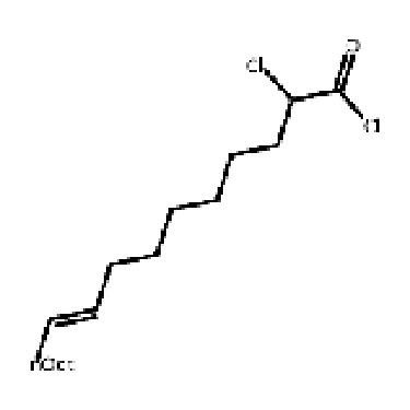 CCCCCCCCC=CCCCCCCC(Cl)C(=O)Cl